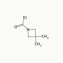 CCC(=O)N1CC(C)(C)C1